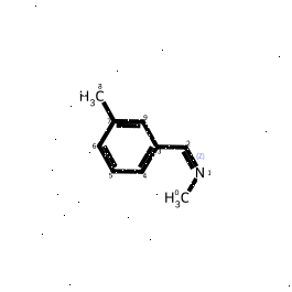 C/N=C\c1cccc(C)c1